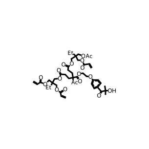 C=CC(=O)OCC(CC)(COC(C)=O)COC(=O)CCC(CCC(=O)OCC(CC)(COC(=O)C=C)COC(=O)C=C)(C(C)=O)C(=O)OCCOc1ccc(C(=O)C(C)(C)O)cc1